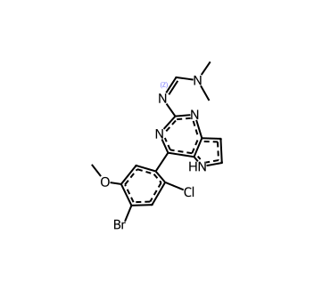 COc1cc(-c2nc(/N=C\N(C)C)nc3cc[nH]c23)c(Cl)cc1Br